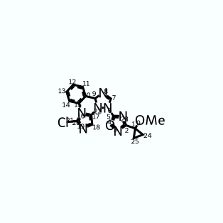 COC1(c2noc(N3C=NC4c5ccccc5-n5c(cnc5Cl)N43)n2)CC1